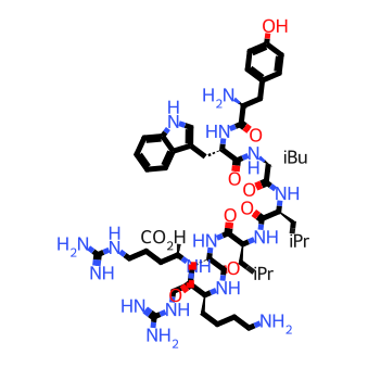 CC[C@H](C)[C@H](NC(=O)[C@H](Cc1c[nH]c2ccccc12)NC(=O)[C@@H](N)Cc1ccc(O)cc1)C(=O)N[C@@H](CC(C)C)C(=O)N[C@@H](CC(C)C)C(=O)N[C@@H](CCCNC(=N)N)C(=O)N[C@@H](CCCCN)C(=O)N[C@@H](CCCNC(=N)N)C(=O)O